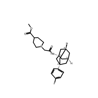 COC(=O)C1CCN(CC(=O)N[C@@]23C[C@H]4C[C@@H](C2)C[C@@](c2ccc(F)cc2)(C4)C3)CC1